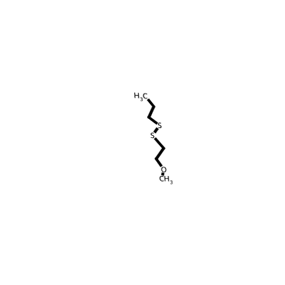 CCCSSCCOC